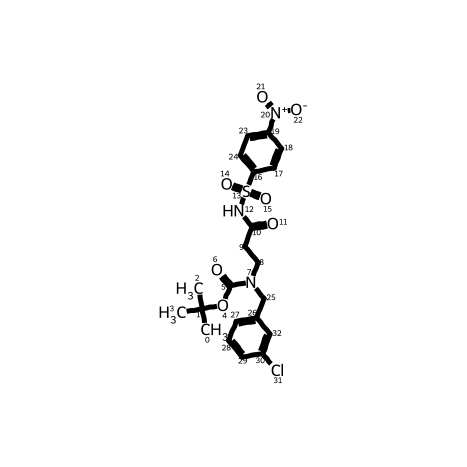 CC(C)(C)OC(=O)N(CCC(=O)NS(=O)(=O)c1ccc([N+](=O)[O-])cc1)Cc1cccc(Cl)c1